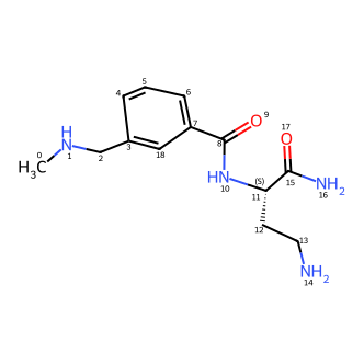 CNCc1cccc(C(=O)N[C@@H](CCN)C(N)=O)c1